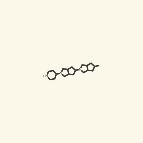 CC1CC2CN(C3CC4CN(C5CCNCC5)CC4C3)CC2C1